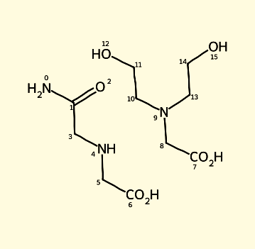 NC(=O)CNCC(=O)O.O=C(O)CN(CCO)CCO